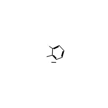 CO.Nc1ccccc1Br